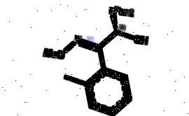 CCCCC[C@@H](O)/C(=N/OC)c1ccccc1C